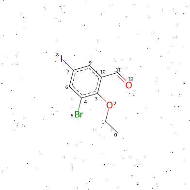 CCOc1c(Br)cc(I)cc1C=O